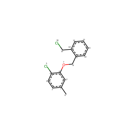 Cc1ccc(Cl)c(OCc2ccccc2CCl)c1